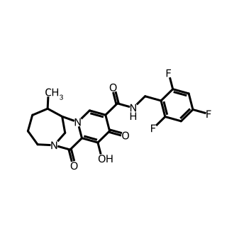 CC1CCCN2CC1n1cc(C(=O)NCc3c(F)cc(F)cc3F)c(=O)c(O)c1C2=O